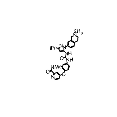 CNC(=O)c1cc(Oc2ccc(NC(=O)Nc3cc(C(C)C)nn3-c3ccc4c(c3)CN(C)CC4)cc2)ccn1